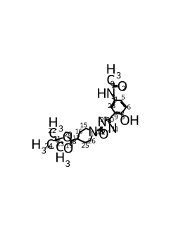 CC(=O)Nc1ccc(O)c(-c2noc(N3CCC(C(=O)OC(C)(C)C)CC3)n2)c1